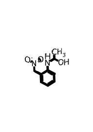 CC(O)Nc1ccccc1C[N+](=O)[O-]